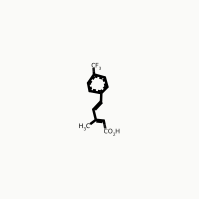 CC(=CC(=O)O)/C=C/c1ccc(C(F)(F)F)cc1